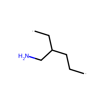 [CH2]CCC(C[CH2])CN